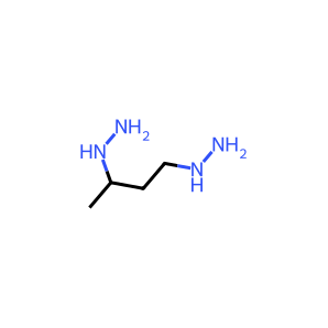 CC(CCNN)NN